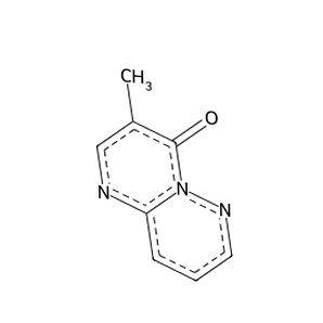 Cc1cnc2cccnn2c1=O